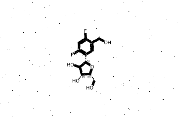 OCc1cc([C@@H]2O[C@H](CO)[C@H](O)C2O)c(F)cc1F